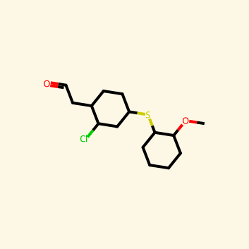 COC1CCCCC1SC1CCC(CC=O)C(Cl)C1